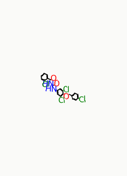 O=C(NC(=O)c1ccccc1Cl)Nc1cc(Cl)c(OCc2ccc(Cl)cc2)c(Cl)c1